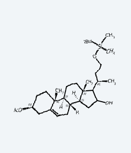 CC(=O)O[C@H]1CC[C@@]2(C)C(=CC[C@@H]3[C@@H]2CC[C@]2(C)C([C@H](C)CCO[Si](C)(C)C(C)(C)C)C(O)C[C@@H]32)C1